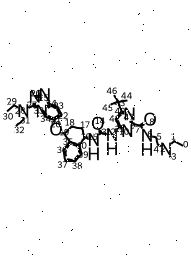 CCN(C)CCNC(=O)c1nc(NC(=O)NC2CCC(Oc3ccc4nnc(N(CC)CC)n4c3)c3ccccc32)cc(C(C)(C)C)n1